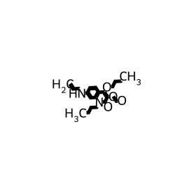 C=CCNc1ccc2c(OCCCC)c(OC=O)c(=O)n(CCCC)c2c1